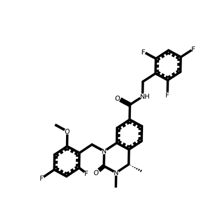 COc1cc(F)cc(F)c1CN1C(=O)N(C)[C@@H](C)c2ccc(C(=O)NCc3c(F)cc(F)cc3F)cc21